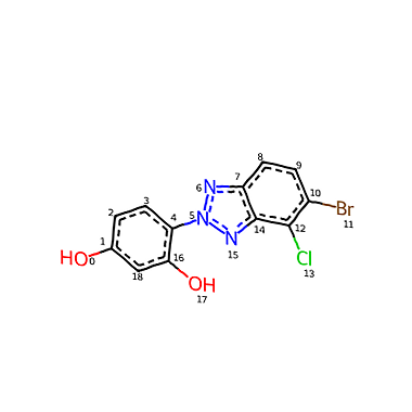 Oc1ccc(-n2nc3ccc(Br)c(Cl)c3n2)c(O)c1